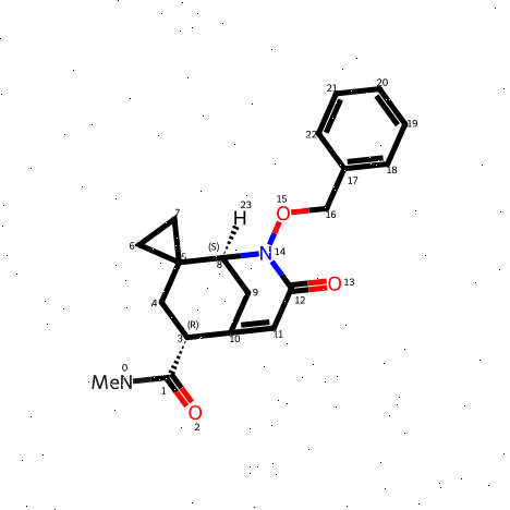 CNC(=O)[C@@H]1CC2(CC2)[C@@H]2CC1=CC(=O)N2OCc1ccccc1